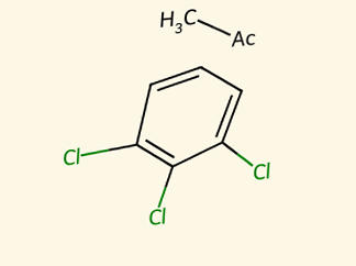 CC(C)=O.Clc1cccc(Cl)c1Cl